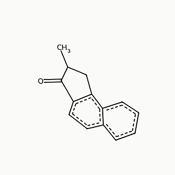 CC1Cc2c(ccc3ccccc23)C1=O